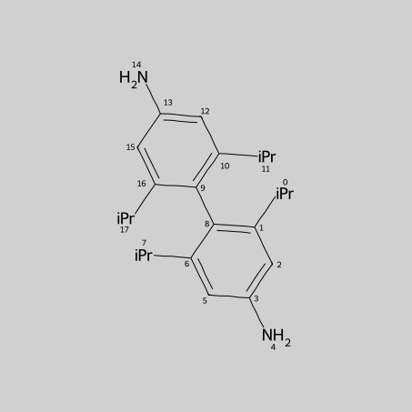 CC(C)c1cc(N)cc(C(C)C)c1-c1c(C(C)C)cc(N)cc1C(C)C